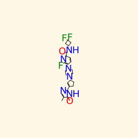 Cc1cnc(C2=CC(N3CCN(c4ccc(C(=O)NC5CC(F)(F)C5)nc4F)CC3)CC2)[nH]c1=O